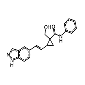 O=C(Nc1ccccc1)C1(CO)CC1C=Cc1ccc2[nH]ncc2c1